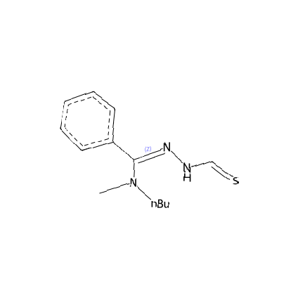 CCCCN(C)/C(=N\NC=S)c1ccccc1